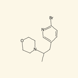 CC(Cc1ccc(Br)nc1)N1CCOCC1